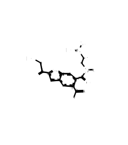 CCC(=O)c1cc2cc(C(C)=O)c(C(=O)N(C)CCN(C)C)cc2o1